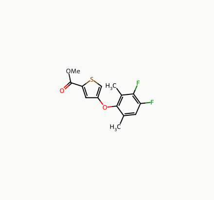 COC(=O)c1cc(Oc2c(C)cc(F)c(F)c2C)cs1